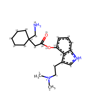 CN(C)CCc1c[nH]c2cccc(OC(=O)CC3(CN)CCCCC3)c12